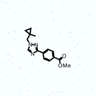 COC(=O)c1ccc(-c2ncn(CC3(C)CC3)n2)cc1